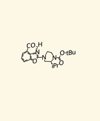 CC(C)[C@H]1CN(c2nc3c(C(=O)O)cccc3o2)CCN1C(=O)OC(C)(C)C